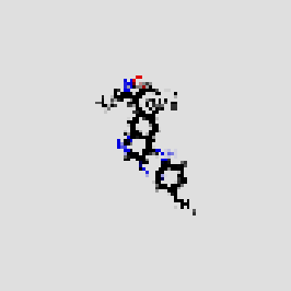 COc1cc2c(Nc3ccc(C)cc3)c(N)cnc2cc1-c1c(C)noc1C